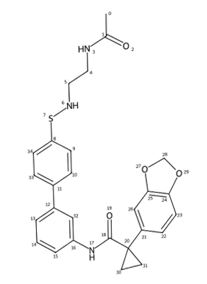 CC(=O)NCCNSc1ccc(-c2cccc(NC(=O)C3(c4ccc5c(c4)OCO5)CC3)c2)cc1